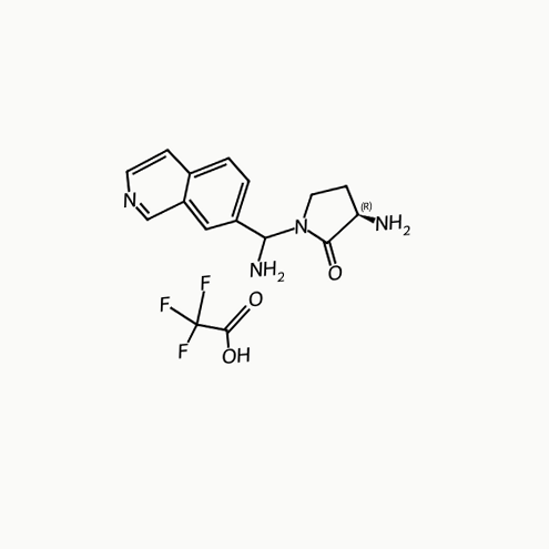 NC(c1ccc2ccncc2c1)N1CC[C@@H](N)C1=O.O=C(O)C(F)(F)F